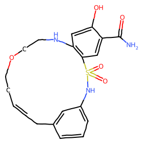 NC(=O)c1cc2c(cc1O)NCCOCC/C=C\Cc1cccc(c1)NS2(=O)=O